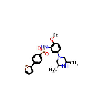 CCOc1ccc(N2CC(C)NC(C)C2)cc1NS(=O)(=O)c1ccc(-c2cccs2)cc1